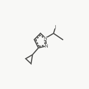 CC(I)n1ccc(C2CC2)n1